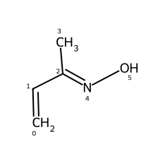 C=CC(C)=NO